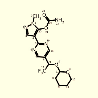 Cn1ncc(-c2ncc(C(OC3CCCCO3)C(F)(F)F)cn2)c1OC(N)=O